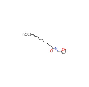 CCCCCCCCC=CCCCCCCCC(=O)N=Cc1ccco1